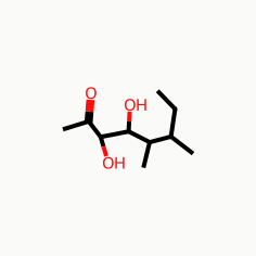 CCC(C)C(C)C(O)C(O)C(C)=O